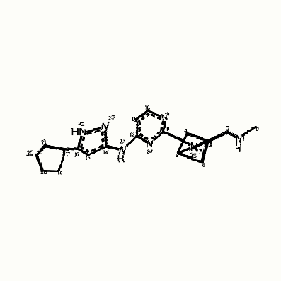 CNCC12CC(C1)N(c1nccc(Nc3cc(C4CCCC4)[nH]n3)n1)C2